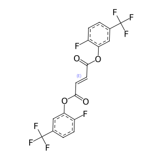 O=C(/C=C/C(=O)Oc1cc(C(F)(F)F)ccc1F)Oc1cc(C(F)(F)F)ccc1F